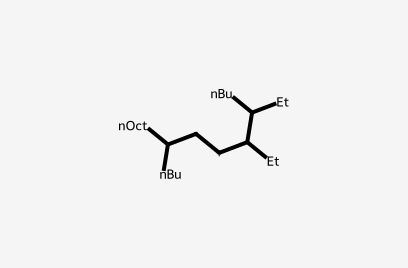 CCCCCCCCC(C[CH]C(CC)C(CC)CCCC)CCCC